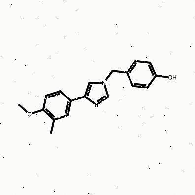 COc1ccc(-c2cn(Cc3ccc(O)cc3)cn2)cc1C